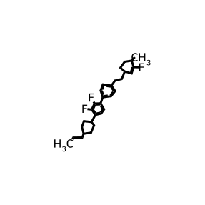 CCCC1CCC(c2ccc(-c3ccc(CCC4C=C(F)C(C)CC4)cc3)c(F)c2F)CC1